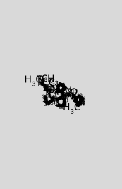 COc1ccc2nc(NC(=O)c3ccnc(C)c3)n(C3CCCCN(C4CCCCN(C(=O)C=CCN(C)C)C4)C3)c2c1Cl